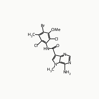 COc1c(Cl)c(NC(=O)c2cn(C)c3c(N)ncnc23)c(Cl)c(C)c1Br